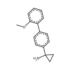 COc1ccccc1-c1ccc(C2(N)CC2)cc1